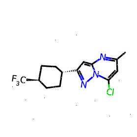 Cc1cc(Cl)n2nc([C@H]3CC[C@H](C(F)(F)F)CC3)cc2n1